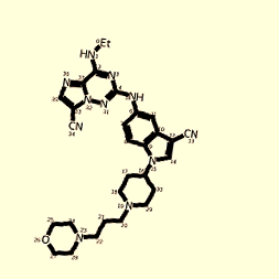 CCNc1nc(Nc2ccc3c(c2)c(C#N)cn3C2CCN(CCCN3CCOCC3)CC2)nn2c(C#N)cnc12